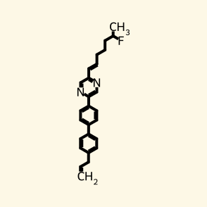 C=CCc1ccc(-c2ccc(-c3cnc(C=CCCCC(C)F)cn3)cc2)cc1